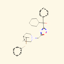 OC(c1ccccc1)(c1noc(C[N+]23CCC(CC2)[C@@H](Sc2ccccc2)C3)n1)C1CCCCC1